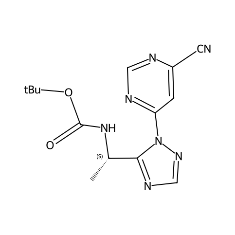 C[C@H](NC(=O)OC(C)(C)C)c1ncnn1-c1cc(C#N)ncn1